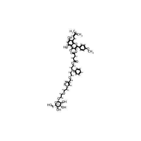 COc1ccc(-c2oc3c(CC=C(C)C)c(O)cc(O)c3c(=O)c2OC(=O)CCC(=O)OCCN(CCOCc2cn(CCOCCO[C@H]3O[C@@H](CO)[C@H](O)[C@@H](O)[C@@H]3O)nn2)c2ccccc2)cc1